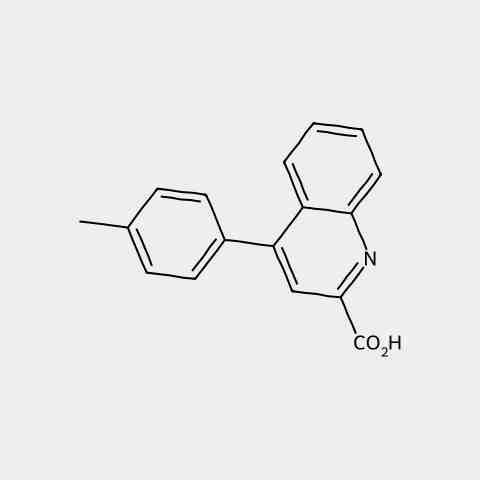 Cc1ccc(-c2cc(C(=O)O)nc3ccccc23)cc1